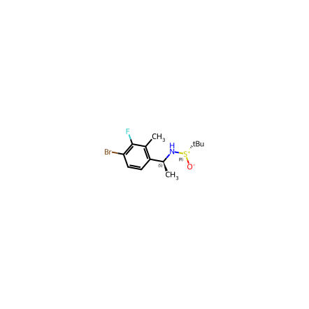 Cc1c([C@H](C)N[S@@+]([O-])C(C)(C)C)ccc(Br)c1F